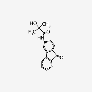 CC(O)(C(=O)Nc1ccc2c(c1)-c1ccccc1C2=O)C(F)(F)F